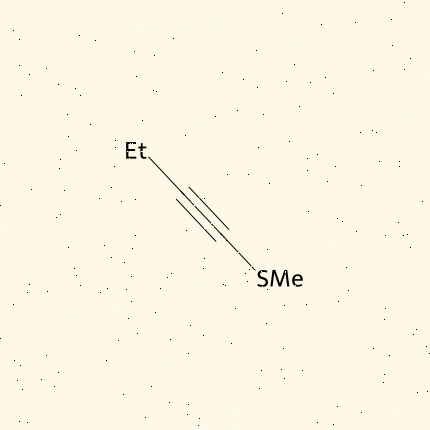 [CH2]SC#CCC